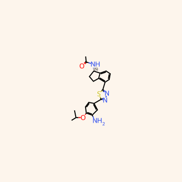 CC(=O)N[C@H]1CCc2c(-c3nnc(-c4ccc(OC(C)C)c(N)c4)s3)cccc21